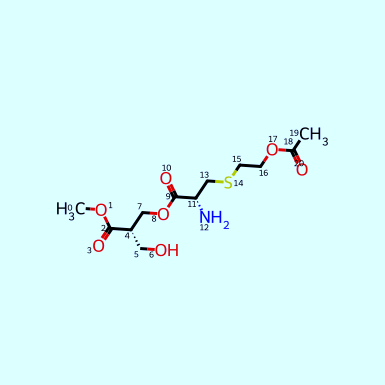 COC(=O)[C@@H](CO)COC(=O)[C@@H](N)CSCCOC(C)=O